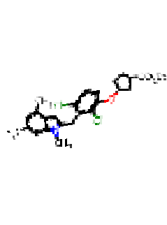 CCOC(=O)C1CCC(Oc2ccc(Cl)c(Cc3cc4c(C)cc(C(F)(F)F)cc4n3C)c2Cl)C1